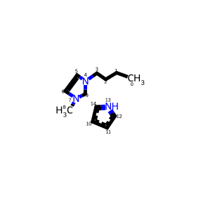 CCCCN1C=CN(C)C1.c1cc[nH]c1